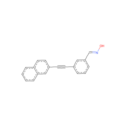 ON=Cc1cccc(C#Cc2ccc3ccccc3c2)c1